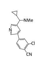 CNC(c1cncc(-c2ccc(C#N)c(Cl)c2)c1)C1CC1